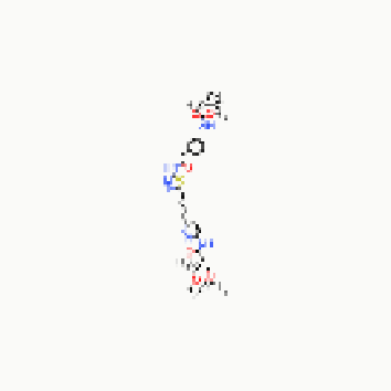 CC1(CC(=O)Nc2ccc(CCCCc3nnc(NC(=O)Cc4cccc(CNC(=O)OC(C)(C)C)c4)s3)nn2)COC(C)(C)OC1